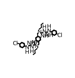 CCCCN(Cc1ccc(CN(CCCC)C(=N)NC(=N)Nc2ccc(Cl)cc2)cc1)C(=N)NC(=N)Nc1ccc(Cl)cc1